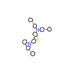 c1ccc(-c2ccc(N(c3ccc(-c4ccccc4)cc3)c3ccc4c(c3)sc3ccc(-n5c6ccccc6c6ccc(-c7ccccc7)cc65)cc34)cc2)cc1